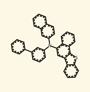 c1ccc(-c2cccc(N(c3ccc4ccccc4c3)c3cc4c5ccccc5sc4c4ccccc34)c2)cc1